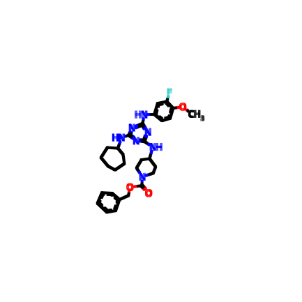 COc1ccc(Nc2nc(NC3CCCCCC3)nc(NC3CCN(C(=O)OCc4ccccc4)CC3)n2)cc1F